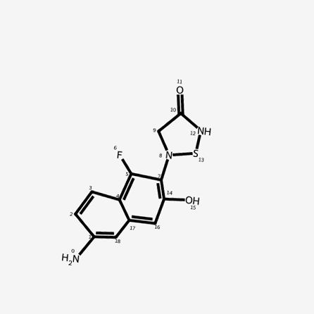 Nc1ccc2c(F)c(N3CC(=O)NS3)c(O)cc2c1